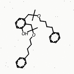 CC(C)(Cc1cccc(O)c1CC(C)(C)OCCCCc1ccccc1)OCCCCc1ccccc1